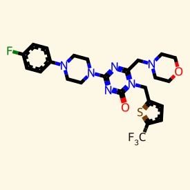 O=c1nc(N2CCN(c3ccc(F)cc3)CC2)nc(CN2CCOCC2)n1Cc1ccc(C(F)(F)F)s1